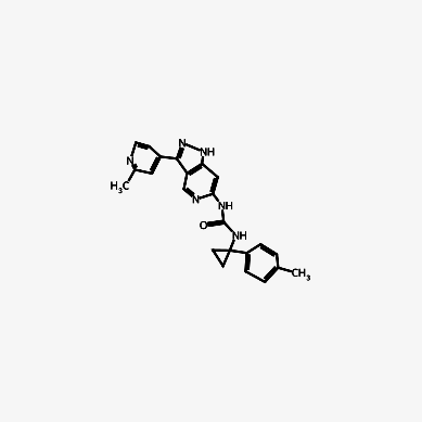 Cc1ccc(C2(NC(=O)Nc3cc4[nH]nc(-c5ccnc(C)c5)c4cn3)CC2)cc1